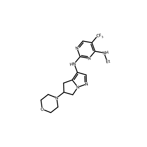 CCNc1nc(Nc2cnn3c2CC(N2CCOCC2)C3)ncc1C(F)(F)F